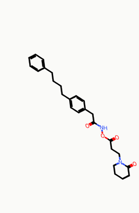 O=C(Cc1ccc(CCCCc2ccccc2)cc1)NOC(=O)CCN1CCCCC1=O